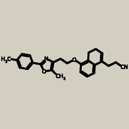 Cc1ccc(-c2nc(CCOc3cccc4c3CCC=C4CCC#N)c(C)o2)cc1